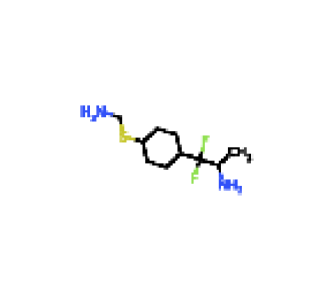 CC(N)C(F)(F)C1CCC(SCN)CC1